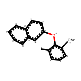 CC(=O)Oc1cccc(C)c1Oc1ccc2ccccc2c1